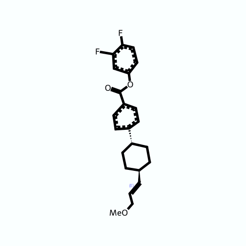 COC/C=C/[C@H]1CC[C@H](c2ccc(C(=O)Oc3ccc(F)c(F)c3)cc2)CC1